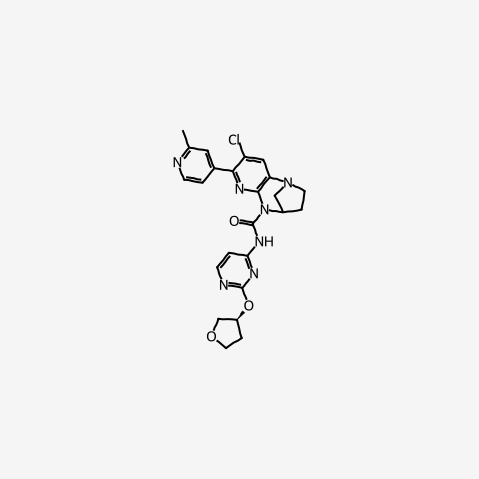 Cc1cc(-c2nc3c(cc2Cl)N2CCC(C2)N3C(=O)Nc2ccnc(O[C@H]3CCOC3)n2)ccn1